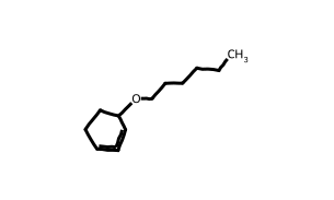 CCCCCCOC1C=C=CCC1